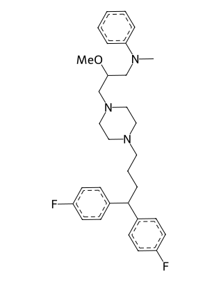 COC(CN1CCN(CCCC(c2ccc(F)cc2)c2ccc(F)cc2)CC1)CN(C)c1ccccc1